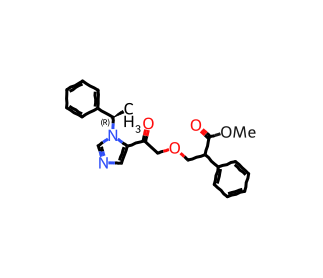 COC(=O)C(COCC(=O)c1cncn1[C@H](C)c1ccccc1)c1ccccc1